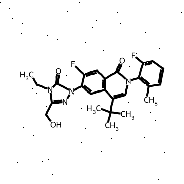 CCn1c(CO)nn(-c2cc3c(C(C)(C)C)cn(-c4c(C)cccc4F)c(=O)c3cc2F)c1=O